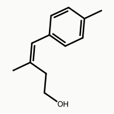 C/C(=C/c1ccc(C)cc1)CCO